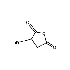 CCCC1CC(=O)OC1=O